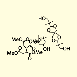 CC(C)(CO)C1OCC2(CO1)COC(C(C)(C)CO)OC2.CN1C(C)(C)CC(O)CC1(C)C.COC(=O)CC(C(=O)OC)C(CC(=O)OC)C(=O)OC